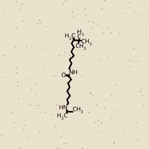 C=C(CC)NCCCCCCCC(=O)NCCCCCCCC(=C)C(C)(C)C